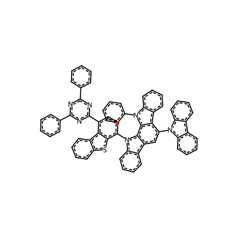 c1ccc(-c2nc(-c3ccccc3)nc(-c3ccc(-n4c5ccccc5c5cc(-n6c7ccccc7c7ccccc76)c6c7ccccc7n(-c7ccccc7)c6c54)c4sc5ccccc5c34)n2)cc1